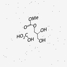 COC(=O)OCC(O)CO.O=C(O)O